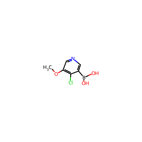 COc1cncc(B(O)O)c1Cl